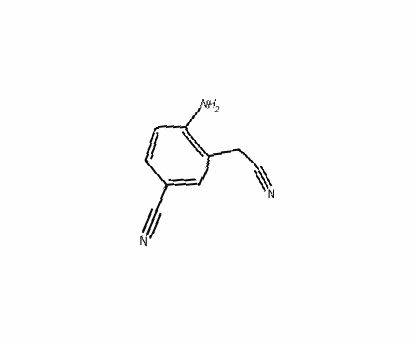 N#CCc1cc(C#N)ccc1N